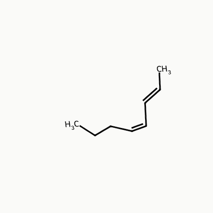 C/C=C/C=C\CCC